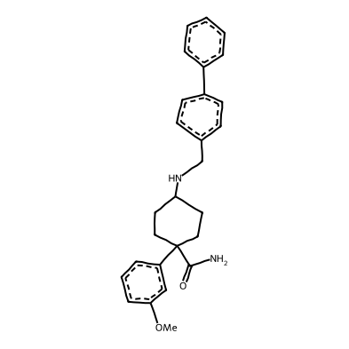 COc1cccc(C2(C(N)=O)CCC(NCc3ccc(-c4ccccc4)cc3)CC2)c1